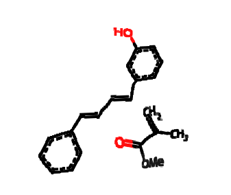 C=C(C)C(=O)OC.Oc1cccc(C=CC=Cc2ccccc2)c1